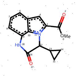 COC(=O)c1cc2cccc3c2n1C(C1CC1)C(=O)N3